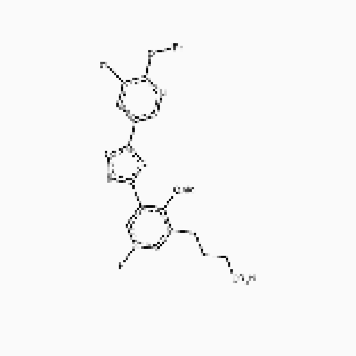 COc1c(CCCC(=O)O)cc(F)cc1-c1noc(-c2cnc(OC(C)C)c(Cl)c2)n1